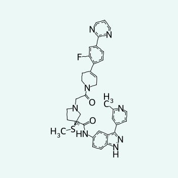 CS[C@@]1(C(=O)Nc2ccc3[nH]nc(-c4ccnc(C)c4)c3c2)CCN(CC(=O)N2CC=C(c3ccc(-c4ncccn4)cc3F)CC2)C1